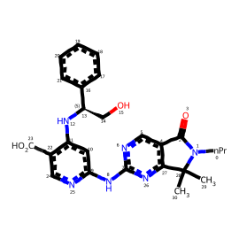 CCCN1C(=O)c2cnc(Nc3cc(N[C@H](CO)c4ccccc4)c(C(=O)O)cn3)nc2C1(C)C